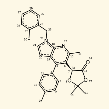 Cc1ccc(-c2c([C@@H]3OC(C)(C)OC3=O)c(C)nc3c2ccn3Cc2ccccc2F)cc1